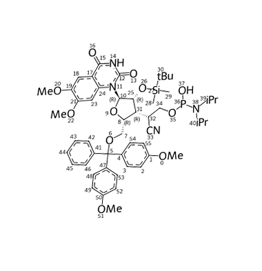 COc1ccc(C(OC[C@@H]2O[C@@H](n3c(=O)[nH]c(=O)c4cc(OC)c(OC)cc43)[C@H](O[Si](C)(C)C(C)(C)C)[C@@H]2C(C#N)COP(O)N(C(C)C)C(C)C)(c2ccccc2)c2ccc(OC)cc2)cc1